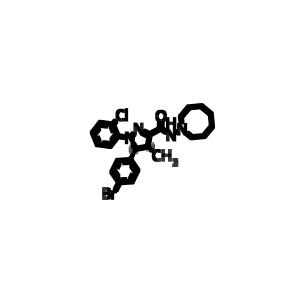 C[C@@H]1C(C(=O)NN2CCCCCCC2)=NN(c2ccccc2Cl)[C@@H]1c1ccc(Br)cc1